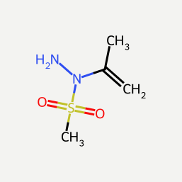 C=C(C)N(N)S(C)(=O)=O